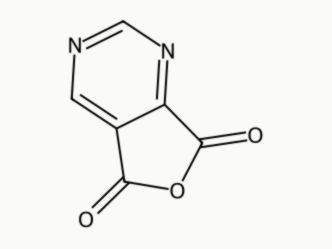 O=C1OC(=O)c2ncncc21